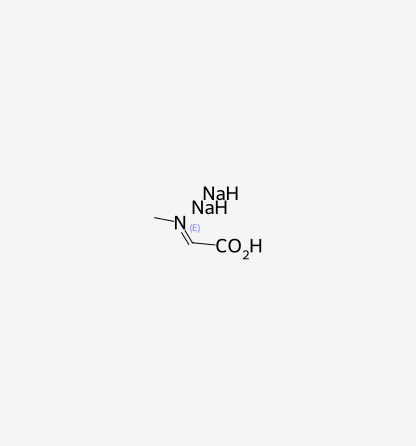 C/N=C/C(=O)O.[NaH].[NaH]